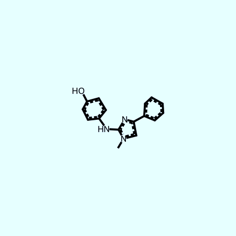 Cn1cc(-c2ccccc2)nc1Nc1ccc(O)cc1